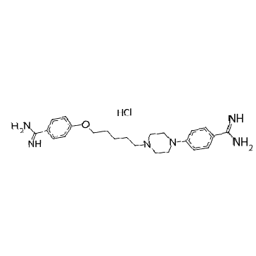 Cl.N=C(N)c1ccc(OCCCCCN2CCN(c3ccc(C(=N)N)cc3)CC2)cc1